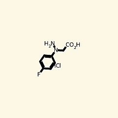 Cl.NN(CC(=O)O)c1ccc(F)cc1